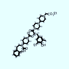 CCOC(=O)CN1CCC(N2CCN(C(=O)[C@@H](Cc3cc(C)c(O)c(CC)c3)OC(=O)N3CCC(N4CCc5ccccc5NC4=O)CC3)CC2)CC1